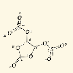 O=C1OC(O[SH](=O)=O)C(O[SH](=O)=O)O1